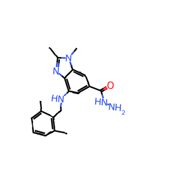 Cc1cccc(C)c1CNc1cc(C(=O)NN)cc2c1nc(C)n2C